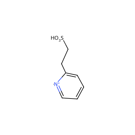 O=S(=O)(O)CCC1=CC=CC=[N+]1